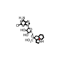 Nc1nc(Cl)nc2c1ncn2[C@@H]1O[C@H](CO[C@](Cc2ccccc2)(C(=O)O)c2cc[nH]n2)[C@@H](O)[C@H]1O